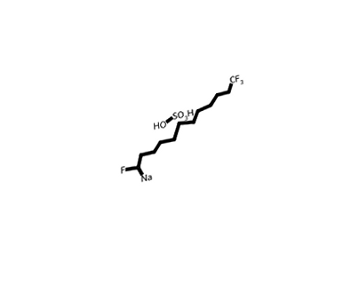 F[CH]([Na])CCCCCCCCCCC(F)(F)F.O=S(=O)(O)O